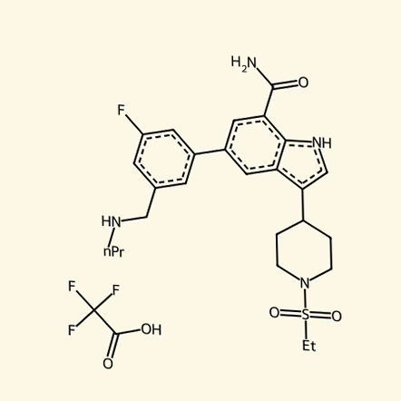 CCCNCc1cc(F)cc(-c2cc(C(N)=O)c3[nH]cc(C4CCN(S(=O)(=O)CC)CC4)c3c2)c1.O=C(O)C(F)(F)F